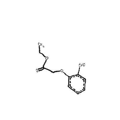 O=Cc1ccccc1OCC(=O)OCC(F)(F)F